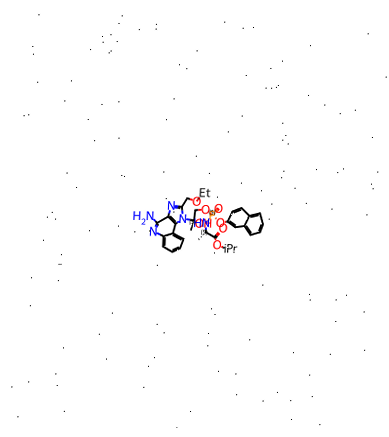 CCOCc1nc2c(N)nc3ccccc3c2n1[C@@](C)(O)CO[P@@](=O)(N[C@@H](C)C(=O)OC(C)C)Oc1ccc2ccccc2c1